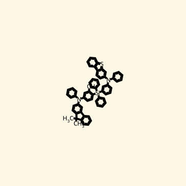 Cc1cc(N(c2ccccc2)c2ccc3c(c2)-c2ccccc2C3(C)C)ccc1[Si](c1ccccc1)(c1ccccc1)c1cccc(N(c2ccccc2)c2ccc3c(c2)sc2ccccc23)c1